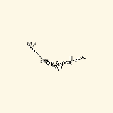 CC(=O)COCCOCCNC(=O)COCCOCCNC(=O)CC[C@H](CC(=O)[C@H]1CC[C@H](CNC(=O)CCCCCCCCCCCCCCC(=O)O)CC1)C(=O)O